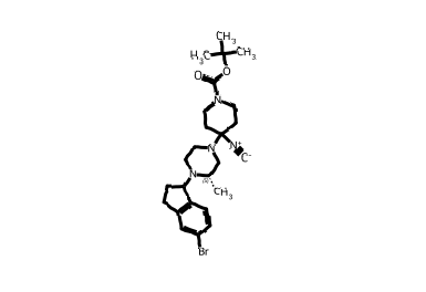 [C-]#[N+]C1(N2CCN(C3CCc4cc(Br)ccc43)[C@@H](C)C2)CCN(C(=O)OC(C)(C)C)CC1